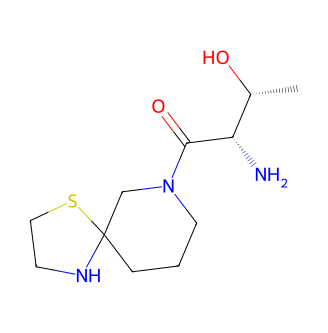 C[C@@H](O)[C@H](N)C(=O)N1CCCC2(C1)NCCS2